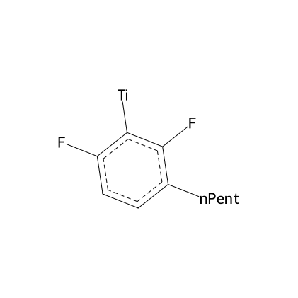 CCCCCc1ccc(F)[c]([Ti])c1F